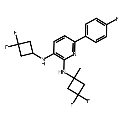 CC1(Nc2nc(-c3ccc(F)cc3)ccc2NC2CC(F)(F)C2)CC(F)(F)C1